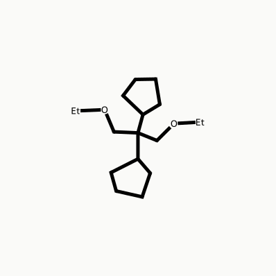 CCOCC(COCC)(C1CCCC1)C1CCCC1